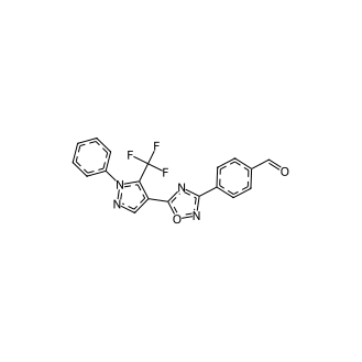 O=Cc1ccc(-c2noc(-c3cnn(-c4ccccc4)c3C(F)(F)F)n2)cc1